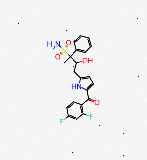 CC(c1ccccc1)(C(O)Cc1ccc(C(=O)c2ccc(F)cc2F)[nH]1)S(N)(=O)=O